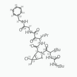 CCCC(NC(=O)C1C2C(CN1C(=O)C(NC(=O)NC(C)(C)C)C(C)(C)C)C2(C)Cl)C(=O)C(=O)NCC(=O)NCc1ccccc1